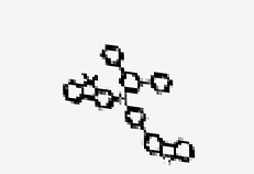 CC1(C)c2ccccc2-c2ccc(N(c3ccc(-c4ccc5sc6ccccc6c5c4)cc3)c3cc(-c4ccccc4)cc(-c4ccccc4)c3)cc21